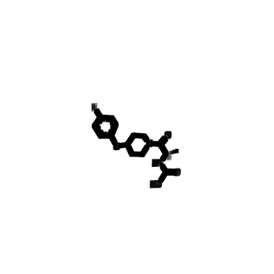 C[C@H](NC(=O)O)C(=O)N1CCC(Oc2ccc(F)cc2)CC1